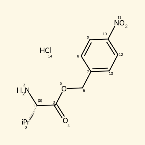 CC(C)[C@H](N)C(=O)OCc1ccc([N+](=O)[O-])cc1.Cl